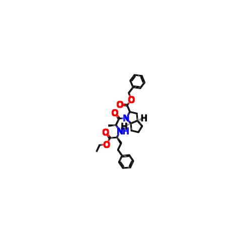 CCOC(=O)[C@H](CCc1ccccc1)N[C@@H](C)C(=O)N1C(C(=O)OCc2ccccc2)C[C@H]2CCC[C@H]21